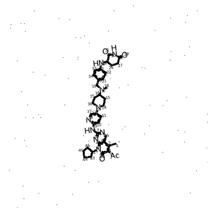 CC(=O)c1c(C)c2cnc(Nc3ccc(N4CCC(N(C)Cc5ccc(NC6CCC(=O)NC6=O)cc5)CC4)cn3)nc2n(C2CCCC2)c1=O